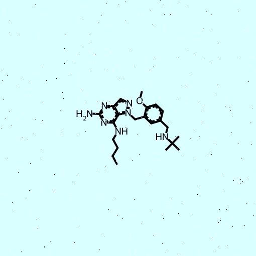 CCCCNc1nc(N)nc2cnn(Cc3cc(CNC(C)(C)C)ccc3OC)c12